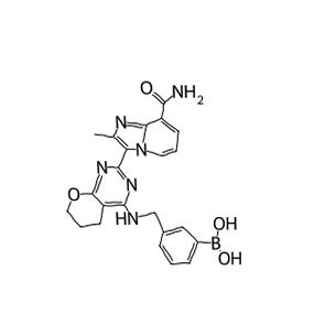 Cc1nc2c(C(N)=O)cccn2c1-c1nc(NCc2cccc(B(O)O)c2)c2c(n1)OCCC2